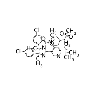 CCOc1cc(C(C)(C)C)ncc1C1=NC(C)(c2ccc(Cl)cc2)C(C)(c2ccc(Cl)cc2)N1C(=O)N1CCC(CS(C)(=O)=O)CC1